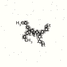 CCOc1cccc(-c2ccc(N(c3ccc(-c4cccc(OCC)c4)cc3)c3ccc4c(c3)C(CC)(CC)c3cc(N(c5ccc(-c6cccc(C)c6)cc5)c5ccc(-c6cccc(C)c6)cc5)ccc3-4)cc2)c1